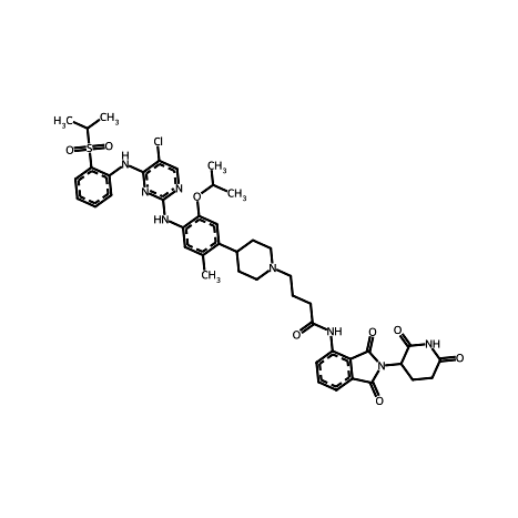 Cc1cc(Nc2ncc(Cl)c(Nc3ccccc3S(=O)(=O)C(C)C)n2)c(OC(C)C)cc1C1CCN(CCCC(=O)Nc2cccc3c2C(=O)N(C2CCC(=O)NC2=O)C3=O)CC1